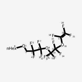 CCCCCCOCC(F)(F)C(F)(F)OC(F)(C(F)(F)F)C(F)(F)OC(F)=C(F)F